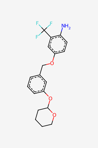 Nc1ccc(OCc2cccc(OC3CCCCO3)c2)cc1C(F)(F)F